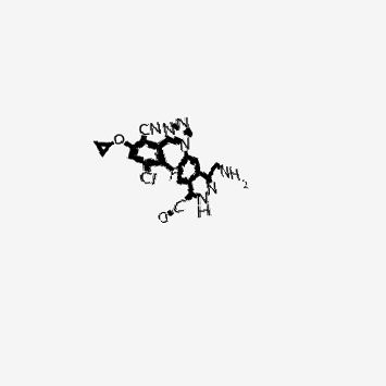 N#Cc1c(OC2CC2)cc(Cl)c(F)c1-c1nncn1-c1ccc2c(c1)C(CN)=NNC2=C=O